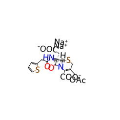 CC(=O)OCC1=C(C(=O)[O-])N2C(=O)[C@@](CC(=O)[O-])(NC(=O)Cc3cccs3)[C@H]2SC1.[Na+].[Na+]